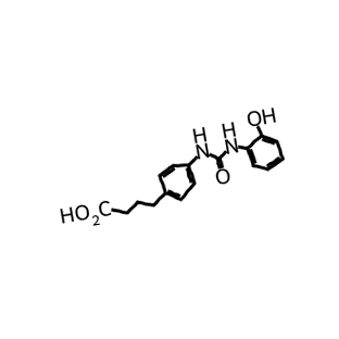 O=C(O)CCCc1ccc(NC(=O)Nc2ccccc2O)cc1